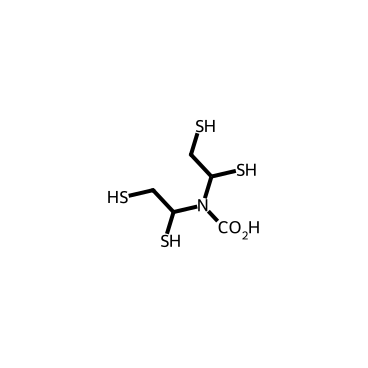 O=C(O)N(C(S)CS)C(S)CS